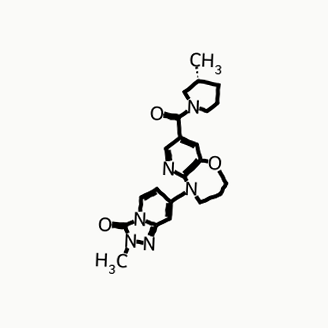 C[C@@H]1CCCN(C(=O)c2cnc3c(c2)OCCCN3c2ccn3c(=O)n(C)nc3c2)C1